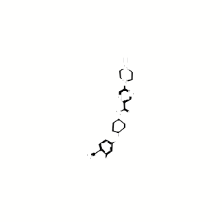 C[C@@H]1CNCCN1c1cnc(C(=O)N[C@H]2CC[C@H](Oc3ccc(C#N)c(Cl)c3)CC2)cn1